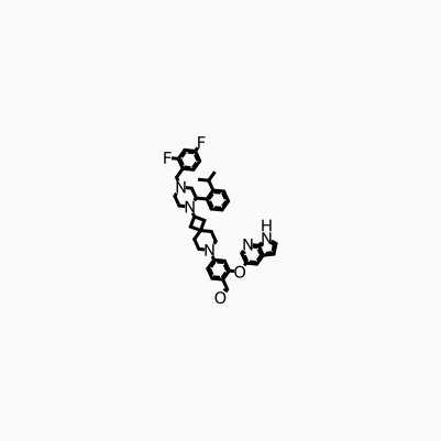 CC(C)c1ccccc1C1CN(Cc2ccc(F)cc2F)CCN1C1CC2(CCN(c3ccc(C=O)c(Oc4cnc5[nH]ccc5c4)c3)CC2)C1